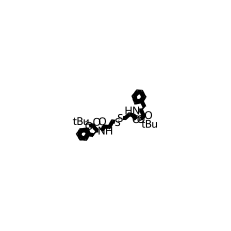 CC(C)(C)OC(=O)[C@H](Cc1ccccc1)NC(=O)CCSSCCC(=O)N[C@@H](Cc1ccccc1)C(=O)OC(C)(C)C